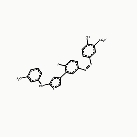 O=C(O)c1cc(/N=N\c2ccc(F)c(-c3csc(Nc4cccc(C(F)(F)F)c4)n3)c2)ccc1O